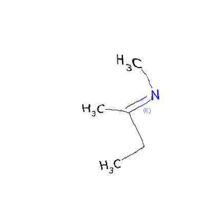 CC/C(C)=N/C